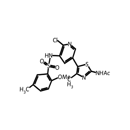 COc1ccc(C)cc1S(=O)(=O)Nc1cc(-c2sc(NC(C)=O)nc2C)cnc1Cl